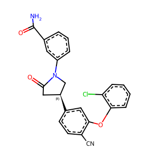 N#Cc1ccc([C@H]2CC(=O)N(c3cccc(C(N)=O)c3)C2)cc1Oc1ccccc1Cl